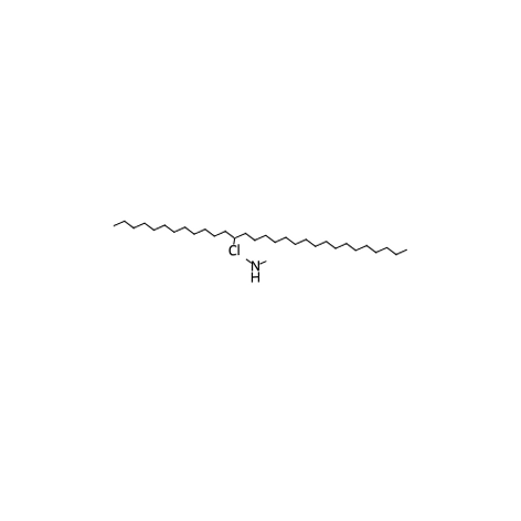 CCCCCCCCCCCCCCCCCC(Cl)CCCCCCCCCCCC.CNC